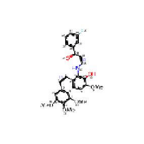 COc1ccc(/C=C\c2cc(OC)c(OC)c(OC)c2)c(N/C=C\C(=O)c2cccc(F)c2)c1O